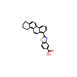 O=C(O)c1ccc2sc(-c3cccc4c3ccc3c5c(ccc34)CCCC5)nc2c1